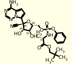 C[C@H](NP(=O)(OC[C@H]1O[C@@](C#N)(c2ccc3c(N)ncnn23)[C@H](O)[C@@H]1O)Oc1ccccc1)C(=O)OCC(C)(C)C